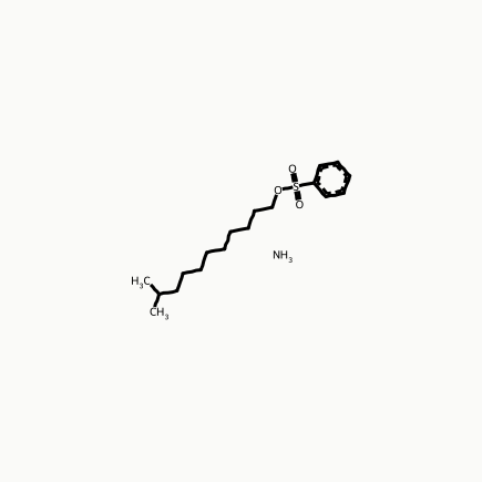 CC(C)CCCCCCCCCOS(=O)(=O)c1ccccc1.N